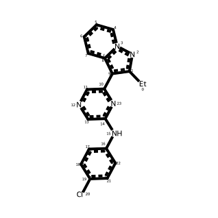 CCc1nn2ccccc2c1-c1cncc(Nc2ccc(Cl)cc2)n1